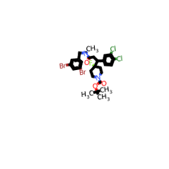 CN(Cc1cc(Br)cc(Br)c1)C(=O)CC(c1ccc(Cl)c(Cl)c1)C1(F)CCN(C(=O)OC(C)(C)C)CC1